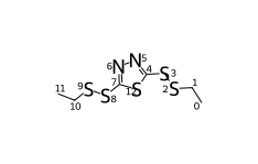 CCSSc1nnc(SSCC)s1